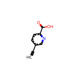 C#Cc1ccc(C(=O)O)nc1